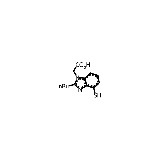 CCCCc1nc2c(S)cccc2n1CC(=O)O